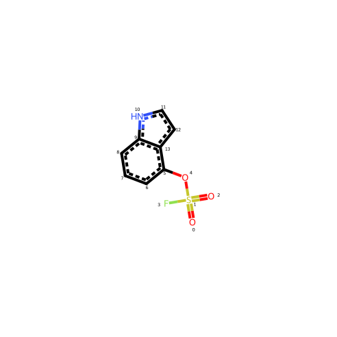 O=S(=O)(F)Oc1cccc2[nH]ccc12